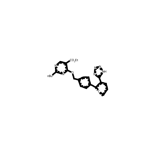 CCCCc1ncc(C(=O)OCC)c(OCc2ccc(-c3ccccc3-c3nnn[nH]3)cc2)n1